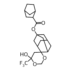 O=C(OC12CC3CC(C1)C1(CC(O)(C(F)(F)F)OCO1)C(C3)C2)C1CC2CCC1C2